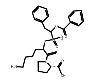 NCCCCC(OP(=O)(O)C(Cc1ccccc1)OC(=O)c1ccccc1)C(=O)N1CCC[C@H]1C(=O)O